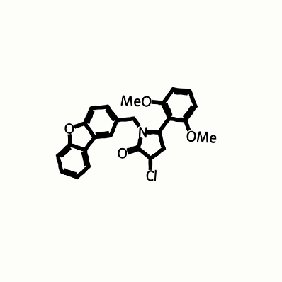 COc1cccc(OC)c1C1CC(Cl)C(=O)N1Cc1ccc2oc3ccccc3c2c1